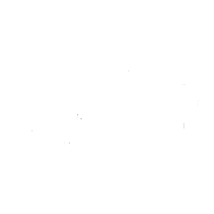 COC(=O)C(=O)N1CCC2(CC1)COc1cc(C(F)(F)F)ccc12